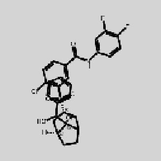 O=C(Nc1ccc(F)c(F)c1)c1ccc(Cl)c(S(=O)(=O)[C@@H]2CC3CC[C@@H](C2)[C@@]3(O)C(O)c2ccccc2)c1